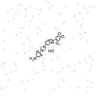 COc1cc(OC)c(-c2cn3ccc(N4CCN(c5ncc(N)cn5)CC4)cc3n2)cc1Cl.Cl